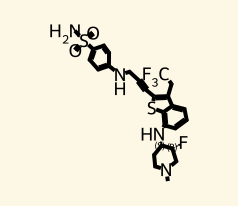 CN1CC[C@H](Nc2cccc3c(CC(F)(F)F)c(C#CCNc4ccc(S(N)(=O)=O)cc4)sc23)[C@H](F)C1